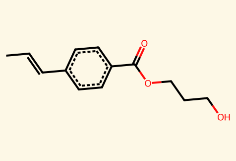 CC=Cc1ccc(C(=O)OCCCO)cc1